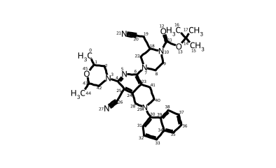 CC1CN(c2nc(N3CCN(C(=O)OC(C)(C)C)C(CC#N)C3)c3c(c2C#N)CN(c2cccc4ccccc24)CC3)CC(C)O1